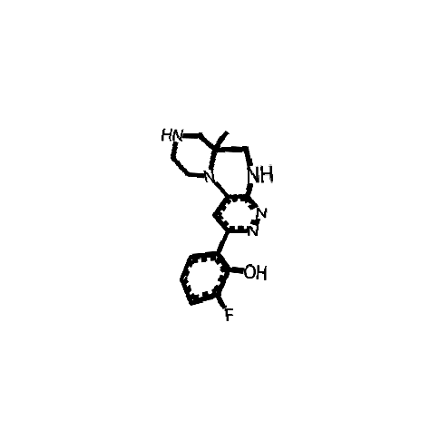 CC12CNCCN1c1cc(-c3cccc(F)c3O)nnc1NC2